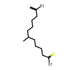 C=C(CC)CCCCC(C)CCCCC(=S)CC